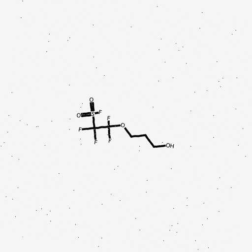 O=S(=O)(F)C(F)(F)C(F)(F)OCCCO